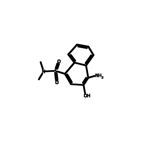 CN(C)S(=O)(=O)c1cc(O)c(N)c2ccccc12